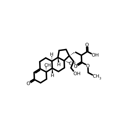 CCOC(=O)C(C[C@@]1(CCO)CC[C@H]2[C@@H]3CCC4=CC(=O)CC[C@]4(C)[C@H]3CC[C@@]21C)C(=O)O